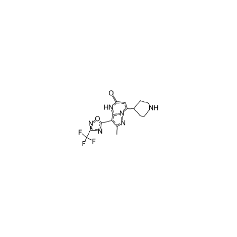 Cc1nn2c(C3CCNCC3)cc(=O)[nH]c2c1-c1nc(C(F)(F)F)no1